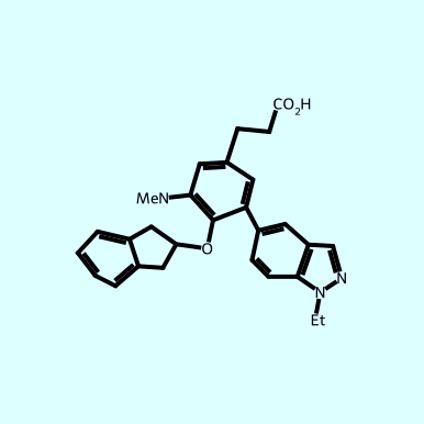 CCn1ncc2cc(-c3cc(CCC(=O)O)cc(NC)c3OC3Cc4ccccc4C3)ccc21